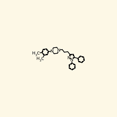 Cc1ccc(N2CCN(CCCc3cc(-c4ccccc4)n(-c4ccccc4)n3)CC2)cc1C